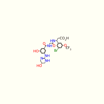 O=C(O)CC(NC(=O)CNC(=O)c1cc(O)cc(NC2=NCC(O)CN2)c1)c1cc(Br)cc(OC(F)(F)F)c1